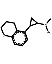 CC(=O)N(C)C1CC1c1cccc2c1CCCO2